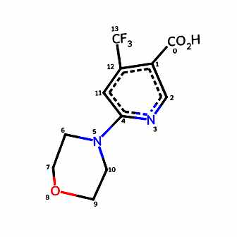 O=C(O)c1cnc(N2CCOCC2)cc1C(F)(F)F